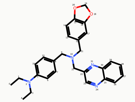 CCN(CC)c1ccc(CN(Cc2ccc3c(c2)OCO3)Cc2cnc3ccccc3n2)cc1